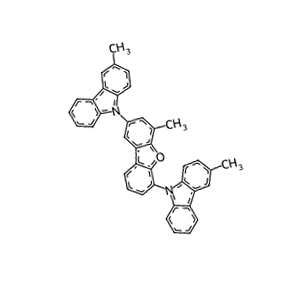 Cc1ccc2c(c1)c1ccccc1n2-c1cc(C)c2oc3c(-n4c5ccccc5c5cc(C)ccc54)cccc3c2c1